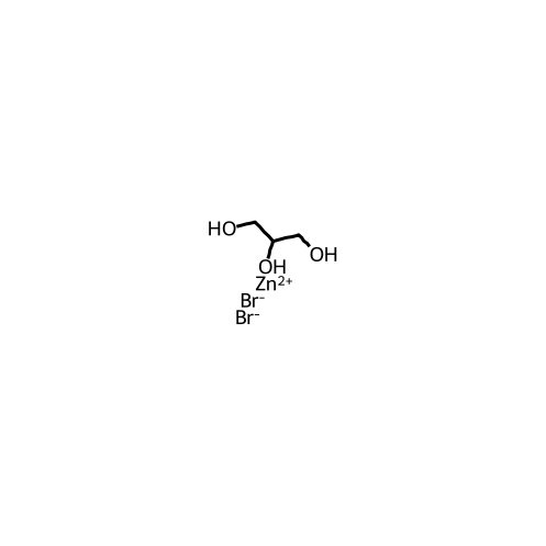 OCC(O)CO.[Br-].[Br-].[Zn+2]